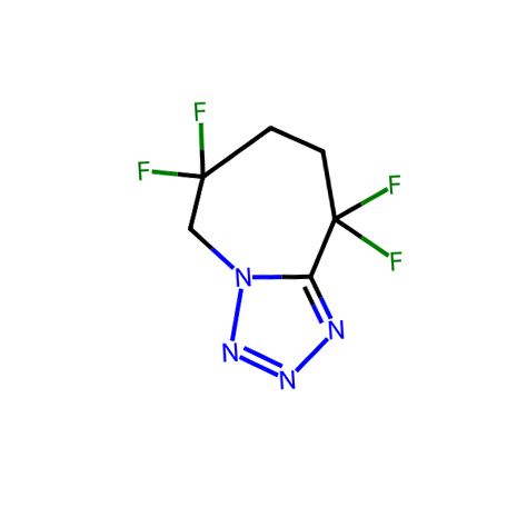 FC1(F)CCC(F)(F)c2nnnn2C1